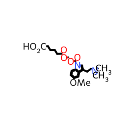 COc1ccc2c(c1)c(CCN(C)C)cn2C(=O)OCOC(=O)CCCCC(=O)O